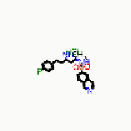 C[C@H](CC(N)CCc1ccc(F)cc1)NS(=O)(=O)c1ccc2cnccc2c1.Cl